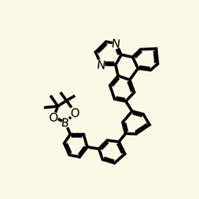 CC1(C)OB(c2cccc(-c3cccc(-c4cccc(-c5ccc6c(c5)c5ccccc5c5nccnc65)c4)c3)c2)OC1(C)C